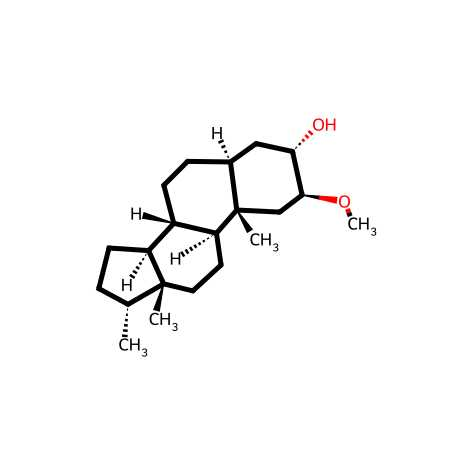 CO[C@H]1C[C@@]2(C)[C@@H](CC[C@@H]3[C@@H]2CC[C@]2(C)[C@H](C)CC[C@@H]32)C[C@@H]1O